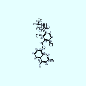 CC[C@@](C)(NS(=O)(=O)c1ccc(Cl)c(COc2cccc3c(C)cc(C)nc23)c1Cl)C(=O)O